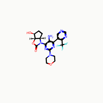 Nc1c(-c2cncnc2C(F)(F)F)nc(N2CCOCC2)nc1N1C(=O)O[C@@H]2[C@@H](O)CC[C@@H]21